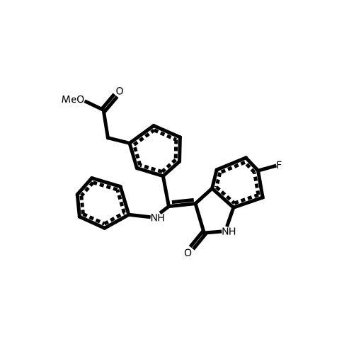 COC(=O)Cc1cccc(/C(Nc2ccccc2)=C2/C(=O)Nc3cc(F)ccc32)c1